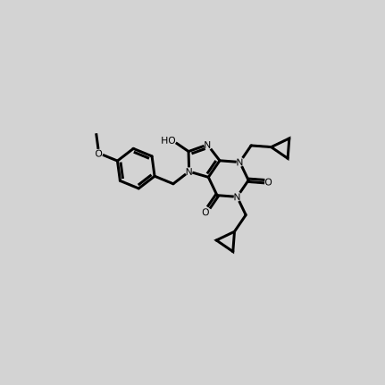 COc1ccc(Cn2c(O)nc3c2c(=O)n(CC2CC2)c(=O)n3CC2CC2)cc1